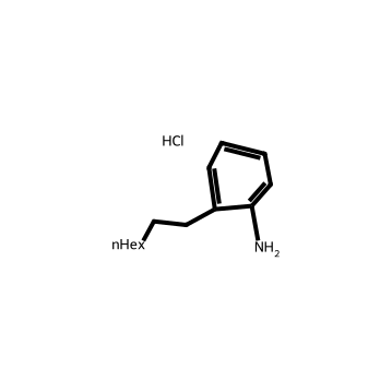 CCCCCCCCc1ccccc1N.Cl